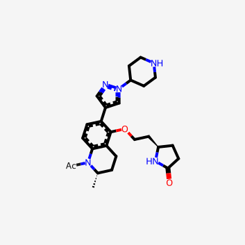 CC(=O)N1c2ccc(-c3cnn(C4CCNCC4)c3)c(OCC[C@H]3CCC(=O)N3)c2CC[C@@H]1C